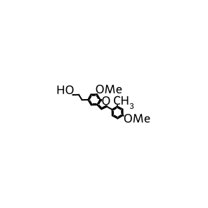 COc1ccc(-c2cc3cc(CCCO)cc(OC)c3o2)c(C)c1